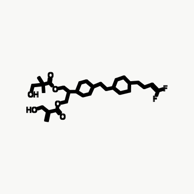 C=C(CO)C(=O)OCC(COC(=O)C(C)(C)CO)C1CCC(CCC2CCC(CCC=C(F)F)CC2)CC1